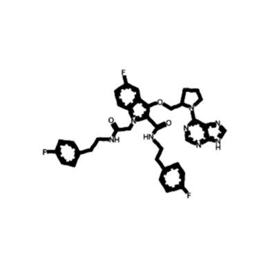 O=C(Cn1c(C(=O)NCCc2ccc(F)cc2)c(OCC2CCCN2c2ncnc3[nH]cnc23)c2cc(F)ccc21)NCCc1ccc(F)cc1